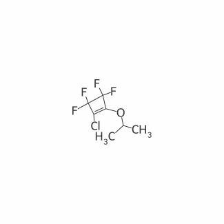 CC(C)OC1=C(Cl)C(F)(F)C1(F)F